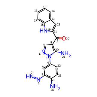 N=Nc1cc(-n2ncc(C(=O)c3cc4ccccc4[nH]3)c2N)ccc1N